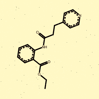 CCOC(=O)c1ccccc1NC(=O)CCc1ccncc1